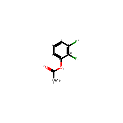 COC(=O)Oc1cc[c]c(F)c1F